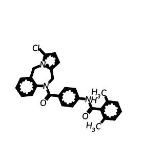 Cc1cccc(C)c1C(=O)Nc1ccc(C(=O)N2Cc3ccc(Cl)n3Cc3ccccc32)cc1